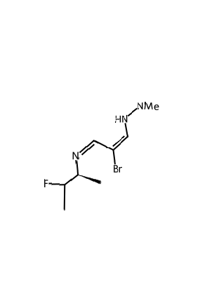 CNN/C=C(Br)\C=N/[C@@H](C)C(C)F